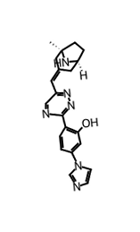 C[C@@]12CC[C@@H](C/C(=C\c3cnc(-c4ccc(-n5ccnc5)cc4O)nn3)C1)N2